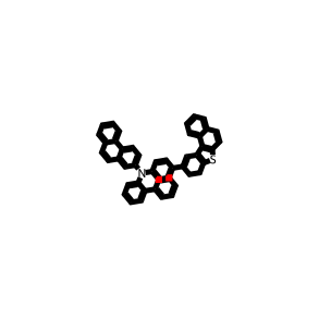 C1=C(c2ccc(N(c3ccc4c(ccc5ccccc54)c3)c3ccccc3-c3ccccc3)cc2)CCc2sc3ccc4ccccc4c3c21